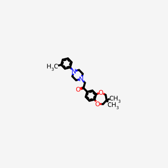 Cc1cccc(N2CCN(CC(=O)c3ccc4c(c3)OCC(C)(C)CO4)CC2)c1